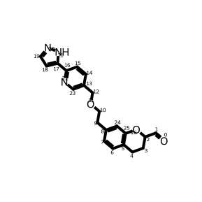 O=CC1CCc2ccc(CCOCc3ccc(-c4ccn[nH]4)nc3)cc2O1